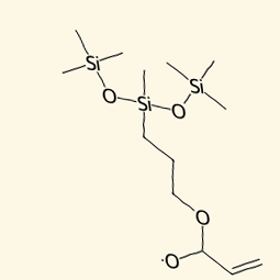 C=CC([O])OCCC[Si](C)(O[Si](C)(C)C)O[Si](C)(C)C